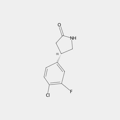 O=C1C[C@@H](c2ccc(Cl)c(F)c2)CN1